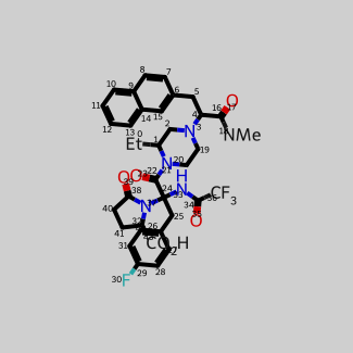 CCC1CN(C(Cc2ccc3ccccc3c2)C(=O)NC)CCN1C(=O)C(Cc1ccc(F)cc1)(NC(=O)C(F)(F)F)N1C(=O)CCC1C(=O)O